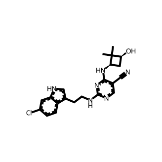 CC1(C)[C@@H](O)C[C@H]1Nc1nc(NCCc2c[nH]c3cc(Cl)ccc23)ncc1C#N